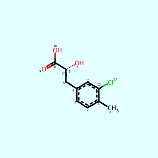 Cc1ccc(C[C@@H](O)C(=O)O)cc1Cl